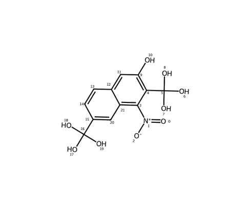 O=[N+]([O-])c1c(C(O)(O)O)c(O)cc2ccc(C(O)(O)O)cc12